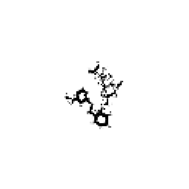 COc1cccc(CCc2ccccc2OC[C@@H](CN(C)C)OCO[P@@](=O)(F)OC(C)C)c1